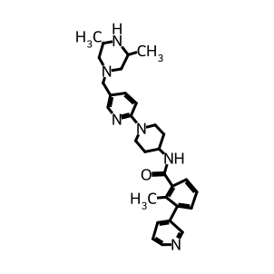 Cc1c(C(=O)NC2CCN(c3ccc(CN4CC(C)NC(C)C4)cn3)CC2)cccc1-c1cccnc1